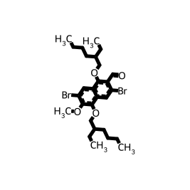 CCCCC(CC)COc1c(C=O)c(Br)cc2c(OCC(CC)CCCC)c(OC)c(Br)cc12